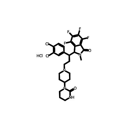 CN1C(=O)c2c(F)c(F)c(F)c(F)c2C1C(CCN1CCC(N2CCCNC2=O)CC1)c1ccc(Cl)c(Cl)c1.Cl